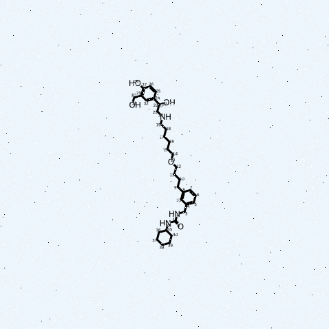 O=C(NCc1cccc(CCCCOCCCCCCNC[C@H](O)c2ccc(O)c(CO)c2)c1)NC1CCCCC1